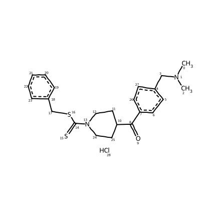 CN(C)Cc1ccc(C(=O)C2CCN(C(=S)SCc3ccccc3)CC2)cc1.Cl